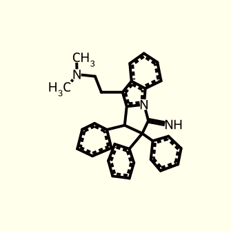 CN(C)CCc1c2n(c3ccccc13)C(=N)C(c1ccccc1)(c1ccccc1)C2c1ccccc1